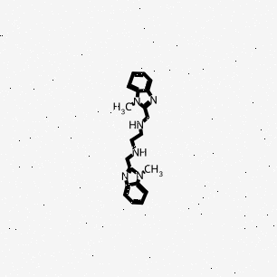 Cn1c(CNCCNCc2nc3ccccc3n2C)nc2ccccc21